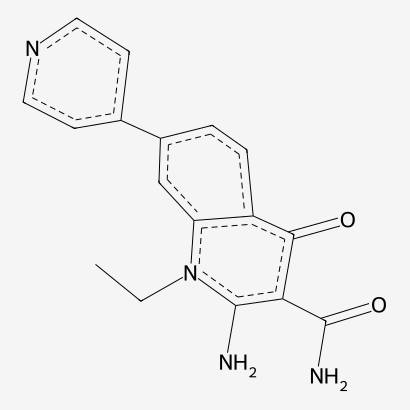 CCn1c(N)c(C(N)=O)c(=O)c2ccc(-c3ccncc3)cc21